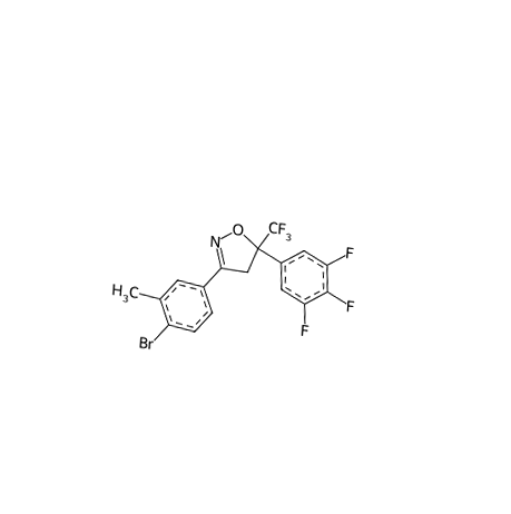 Cc1cc(C2=NOC(c3cc(F)c(F)c(F)c3)(C(F)(F)F)C2)ccc1Br